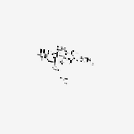 CCCOC(CC)([N]C(CC)(OC)OCCC)OC